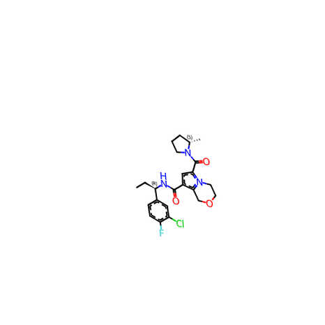 CC[C@@H](NC(=O)c1cc(C(=O)N2CCC[C@@H]2C)n2c1COCC2)c1ccc(F)c(Cl)c1